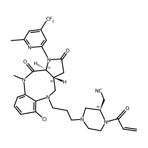 C=CC(=O)N1CCN(CCCN2C[C@H]3CC(=O)N(c4cc(C(F)(F)F)cc(C)n4)[C@@H]3C(=O)N(C)c3cccc(Cl)c32)C[C@H]1CC#N